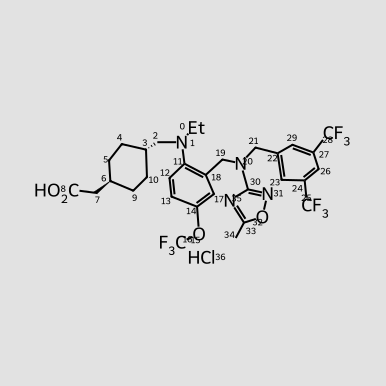 CCN(C[C@H]1CC[C@H](CC(=O)O)CC1)c1ccc(OC(F)(F)F)cc1CN(Cc1cc(C(F)(F)F)cc(C(F)(F)F)c1)c1noc(C)n1.Cl